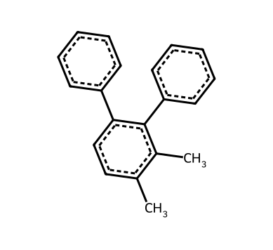 Cc1ccc(-c2ccccc2)c(-c2ccccc2)c1C